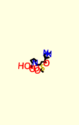 CC(=O)SC(CC(=O)c1cnn(C)c1)C(=O)N1CCC[C@H]1C(=O)O